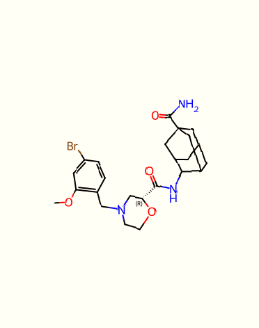 COc1cc(Br)ccc1CN1CCO[C@@H](C(=O)NC2C3CC4CC2CC(C(N)=O)(C4)C3)C1